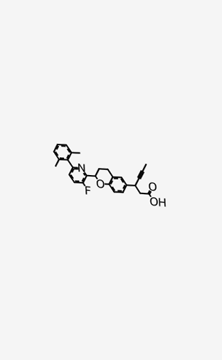 CC#CC(CC(=O)O)c1ccc2c(c1)CCC(c1nc(-c3c(C)cccc3C)ccc1F)O2